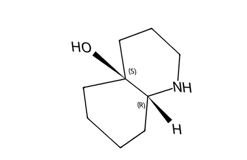 O[C@]12CCCC[C@H]1NCCC2